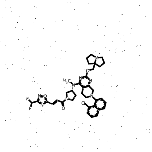 CN(c1nc(OCC23CCCN2CCC3)nc2c1CCN(c1cccc3cccc(Cl)c13)C2)[C@@H]1CCN(C(=O)/C=C/c2nc(C(F)F)no2)C1